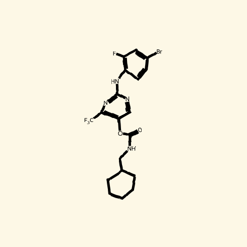 O=C(NCC1CCCCC1)Oc1cnc(Nc2ccc(Br)cc2F)nc1C(F)(F)F